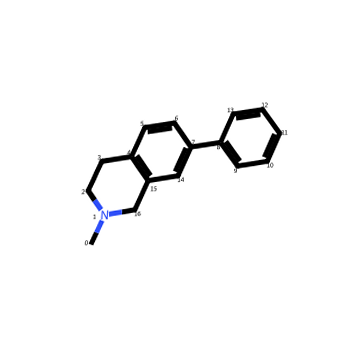 CN1CCc2ccc(-c3ccccc3)cc2C1